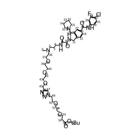 CN(CCCNC(=O)C(=O)NCc1ccc(C(=O)Nc2ccc(Cl)c(F)c2)cc1CN1CCCCC1)CCOCCOCCOCc1cn(CCOCCOCCC(=O)OC(C)(C)C)nn1